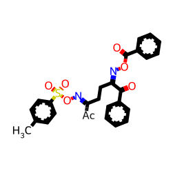 CC(=O)C(CCC(=NOC(=O)c1ccccc1)C(=O)c1ccccc1)=NOS(=O)(=O)c1ccc(C)cc1